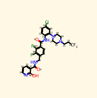 O=C(NCc1ccc(C(=O)Nc2ccc(Cl)cc2N2CCN(CCC(F)(F)F)CC2)c(F)c1F)c1cccnc1O